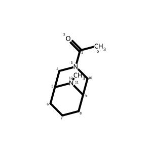 CC(=O)N1CC2CCCC(C1)N2C